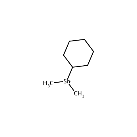 [CH3][Sn]([CH3])[CH]1CCCCC1